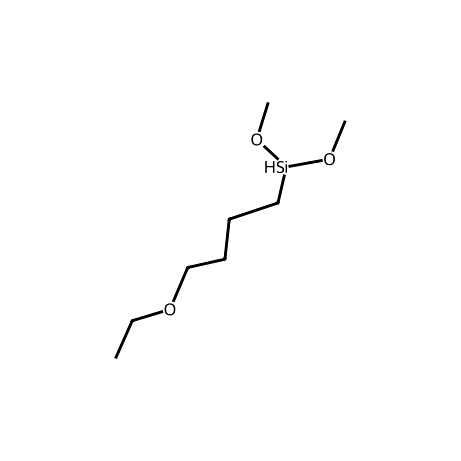 CCOCCCC[SiH](OC)OC